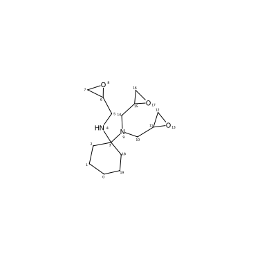 C1CCC(NCC2CO2)(N(CC2CO2)CC2CO2)CC1